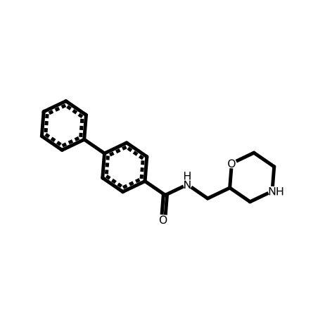 O=C(NCC1CNCCO1)c1ccc(-c2ccccc2)cc1